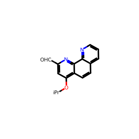 CC(C)Oc1cc(C=O)nc2c1ccc1cccnc12